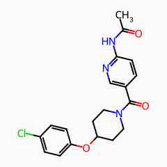 CC(=O)Nc1ccc(C(=O)N2CCC(Oc3ccc(Cl)cc3)CC2)cn1